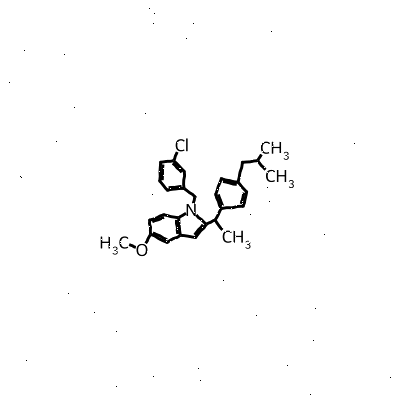 COc1ccc2c(c1)cc(C(C)c1ccc(CC(C)C)cc1)n2Cc1cccc(Cl)c1